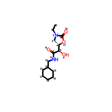 CCN1C[C@@H]([C@@H](O)C(=O)NCC2CCCCC2)OC1=O